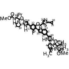 COC(=O)NC(C(=O)N1CCC[C@H]1c1ncc(-c2cc(F)c3c(c2)OC(c2cnc(C4CC4)s2)n2c-3cc3cc(-c4cnc([C@@H]5CC6C([C@@H]6C)N5C(=O)C(NC(=O)OC)C(C)(C)F)[nH]4)ccc32)[nH]1)C(C)C